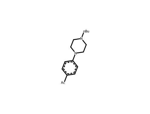 CCCCN1CCN(c2ccc(C(C)=O)cc2)CC1